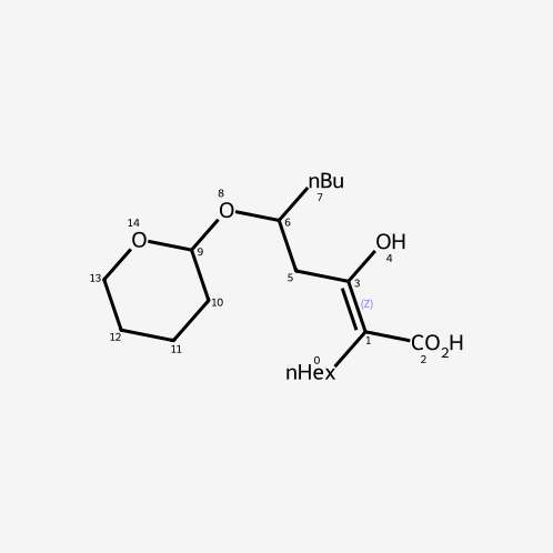 CCCCCC/C(C(=O)O)=C(/O)CC(CCCC)OC1CCCCO1